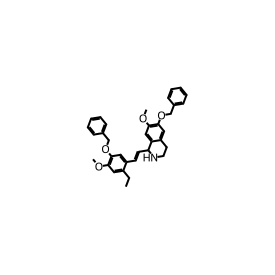 CCc1cc(OC)c(OCc2ccccc2)cc1/C=C/C1NCCc2cc(OCc3ccccc3)c(OC)cc21